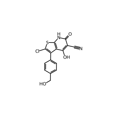 N#Cc1c(O)c2c(-c3ccc(CO)cc3)c(Cl)sc2[nH]c1=O